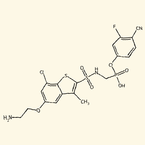 Cc1c(S(=O)(=O)NCP(=O)(O)Oc2ccc(C#N)c(F)c2)sc2c(Cl)cc(OCCN)cc12